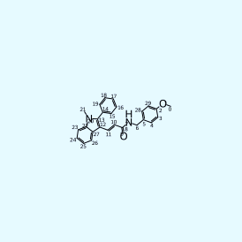 COc1ccc(CNC(=O)/C=C/c2c(-c3ccccc3)n(C)c3ccccc23)cc1